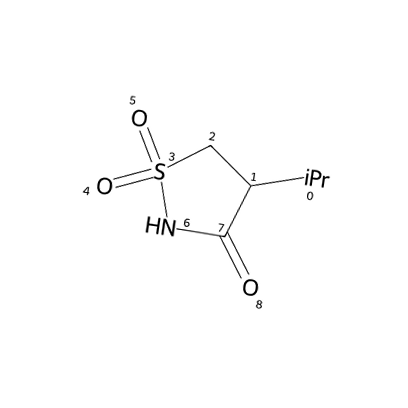 CC(C)C1CS(=O)(=O)NC1=O